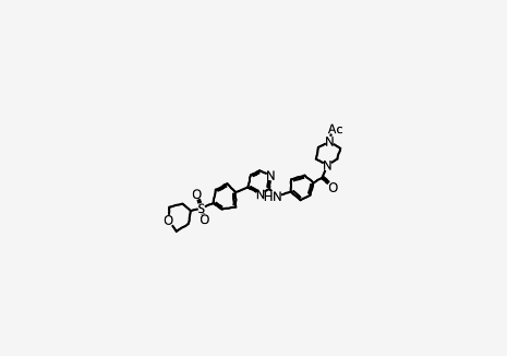 CC(=O)N1CCN(C(=O)c2ccc(Nc3nccc(-c4ccc(S(=O)(=O)C5CCOCC5)cc4)n3)cc2)CC1